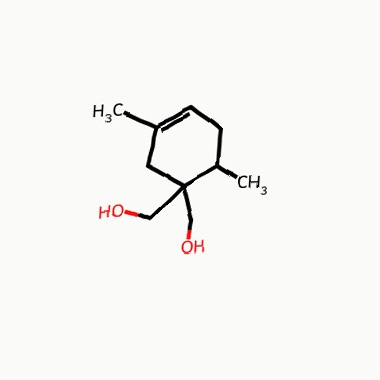 CC1=CCC(C)C(CO)(CO)C1